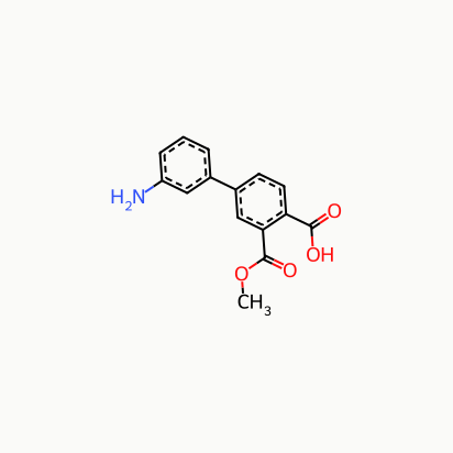 COC(=O)c1cc(-c2cccc(N)c2)ccc1C(=O)O